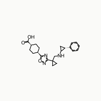 O=C(O)[C@H]1CC[C@@H](c2nc(C3(CNC4C[C@@H]4c4ccccc4)CC3)no2)CC1